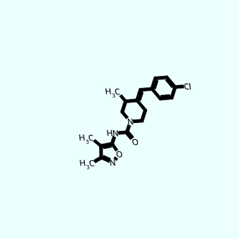 Cc1noc(NC(=O)N2CCC(=Cc3ccc(Cl)cc3)C(C)C2)c1C